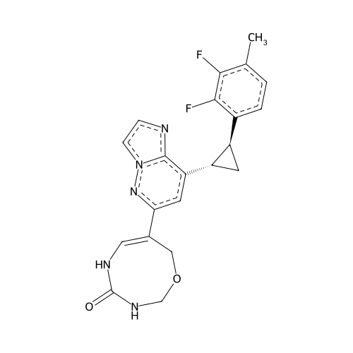 Cc1ccc([C@H]2C[C@@H]2c2cc(/C3=C/NC(=O)NCOC3)nn3ccnc23)c(F)c1F